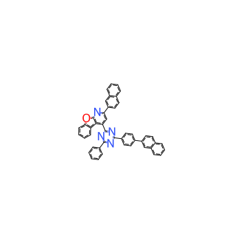 c1ccc(-c2nc(-c3ccc(-c4ccc5ccccc5c4)cc3)nc(-c3cc(-c4ccc5ccccc5c4)nc4oc5ccccc5c34)n2)cc1